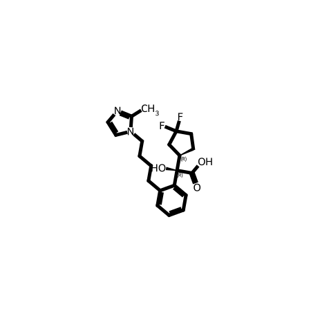 Cc1nccn1CCCCc1ccccc1[C@@](O)(C(=O)O)[C@@H]1CCC(F)(F)C1